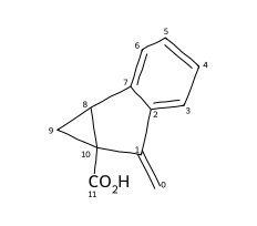 C=C1c2ccccc2C2CC12C(=O)O